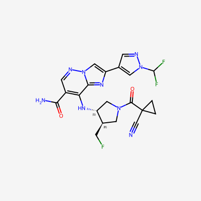 N#CC1(C(=O)N2C[C@@H](CF)[C@H](Nc3c(C(N)=O)cnn4cc(-c5cnn(C(F)F)c5)nc34)C2)CC1